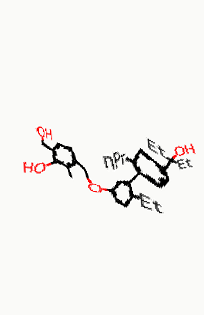 CCCc1cc(C(O)(CC)CC)ccc1-c1cc(OCc2ccc(CO)c(O)c2C)ccc1CC